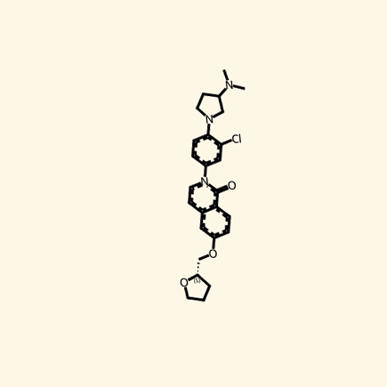 CN(C)C1CCN(c2ccc(-n3ccc4cc(OC[C@@H]5CCCO5)ccc4c3=O)cc2Cl)C1